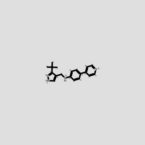 CC(C)(C)c1n[nH]cc1CNc1ccc(-c2ccncc2)cc1